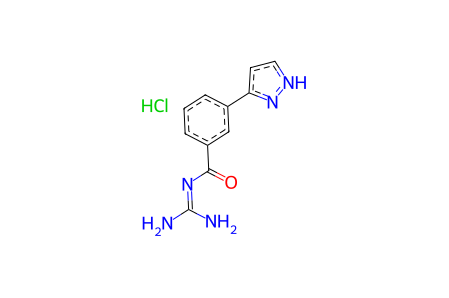 Cl.NC(N)=NC(=O)c1cccc(-c2cc[nH]n2)c1